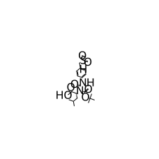 CC(C)C[C@@H](C(=O)O)N(C(=O)Nc1ccc(C[SH](=O)=O)cc1)C(=O)OC(C)(C)C